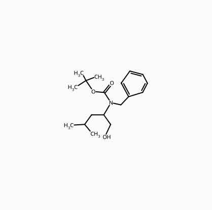 CC(C)CC(CO)N(Cc1ccccc1)C(=O)OC(C)(C)C